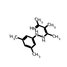 CC(=N)C(C)=C(C)NNc1cc(C)cc(C)c1